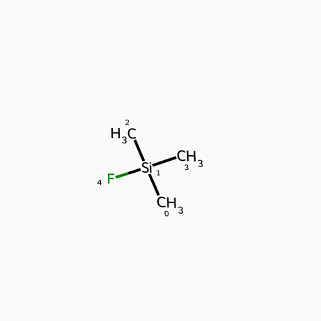 C[Si](C)(C)F